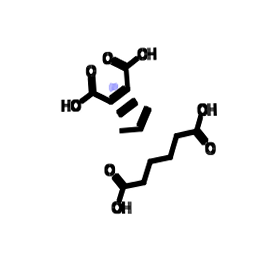 C=C.C=CC.O=C(O)/C=C\C(=O)O.O=C(O)CCCCC(=O)O